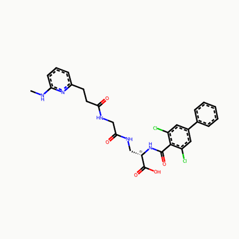 CNc1cccc(CCC(=O)NCC(=O)NC[C@H](NC(=O)c2c(Cl)cc(-c3ccccc3)cc2Cl)C(=O)O)n1